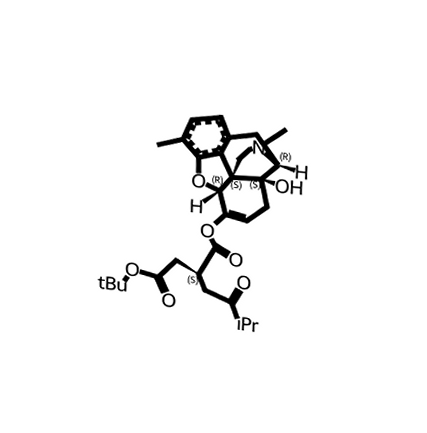 Cc1ccc2c3c1O[C@H]1C(OC(=O)[C@H](CC(=O)OC(C)(C)C)CC(=O)C(C)C)=CC[C@@]4(O)[C@@H](C2)N(C)CC[C@]314